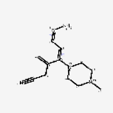 C=C(CC#N)/C(=C\C=N/N)N1CCN(C)CC1